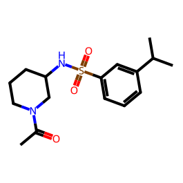 CC(=O)N1CCCC(NS(=O)(=O)c2cccc(C(C)C)c2)C1